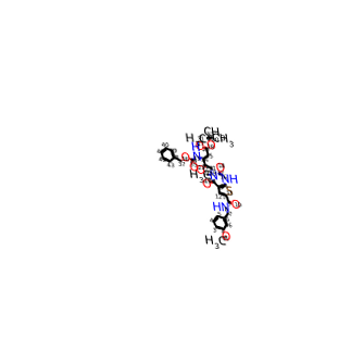 COc1cccc(CNC(=O)c2cc3c(s2)NC(=O)[N+](C)(CC(=O)C(CC(=O)OC(C)(C)C)NC(=O)OCc2ccccc2)C3=O)c1